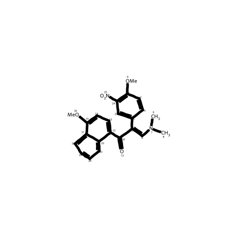 COc1ccc(/C(=C\N(C)C)C(=O)c2ccc(OC)c3ccccc23)cc1[N+](=O)[O-]